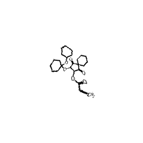 C=CC(=O)OC1C(=O)C2(CCCCC2)C(=O)C1OC1(OC2CCCCC2)CCCCC1